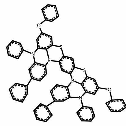 c1ccc(Oc2cc3c4c(c2)N(c2ccccc2)c2cc(-c5ccccc5)ccc2B4c2cc4c(cc2S3)Sc2cc(Oc3ccccc3)cc3c2B4c2ccc(-c4ccccc4)cc2N3c2ccccc2)cc1